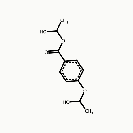 CC(O)OC(=O)c1ccc(OC(C)O)cc1